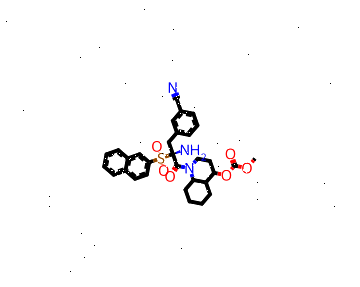 COC(=O)OC1CCN(C(=O)[C@@](N)(Cc2cccc(C#N)c2)S(=O)(=O)c2ccc3ccccc3c2)C2CCCCC12